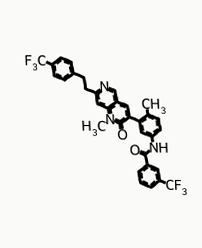 Cc1ccc(NC(=O)c2cccc(C(F)(F)F)c2)cc1-c1cc2cnc(CCc3ccc(C(F)(F)F)cc3)cc2n(C)c1=O